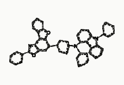 c1ccc(-c2nc3c(cc(-c4ccc(N(c5ccccc5)c5cccc6c5c5ccccc5n6-c5ccccc5)cc4)c4oc5ccccc5c43)o2)cc1